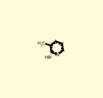 Br.Cc1cccnc1